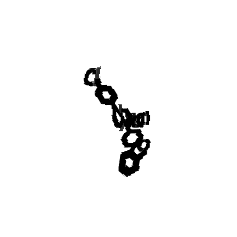 Cl.Cl.Clc1ccc(N2CCN(C3CCC4(CC3)OCc3ccccc34)CC2)cc1